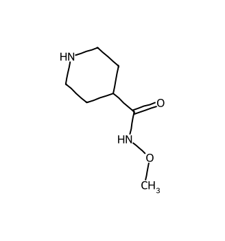 CONC(=O)C1CCNCC1